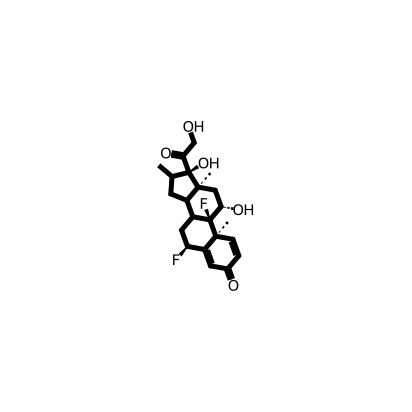 CC1CC2C3C[C@H](F)C4=CC(=O)C=C[C@]4(C)[C@@]3(F)[C@@H](O)C[C@]2(C)[C@@]1(O)C(=O)CO